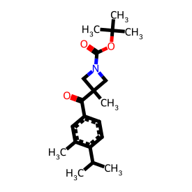 Cc1cc(C(=O)C2(C)CN(C(=O)OC(C)(C)C)C2)ccc1C(C)C